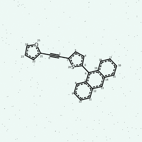 C(#Cc1ccc(-c2c3ccccc3cc3ccccc23)s1)c1ccco1